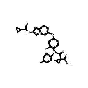 NC(=O)C1(C(=O)N(c2ccc(F)cc2)c2ccc(Oc3ccc4nc(NC(=O)C5CC5)cn4c3)cc2F)CC1